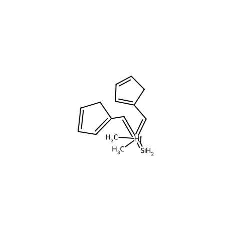 [CH3][Hf]([CH3])(=[SiH2])(=[CH]C1=CC=CC1)=[CH]C1=CC=CC1